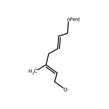 CCCCCCC=CCC(C)=CC[O]